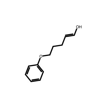 OC=CCCCOc1ccccc1